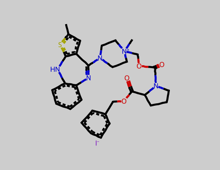 Cc1cc2c(s1)Nc1ccccc1N=C2N1CC[N+](C)(COC(=O)N2CCCC2C(=O)OCc2ccccc2)CC1.[I-]